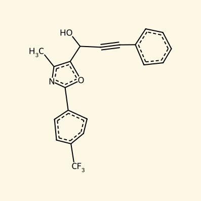 Cc1nc(-c2ccc(C(F)(F)F)cc2)oc1C(O)C#Cc1ccccc1